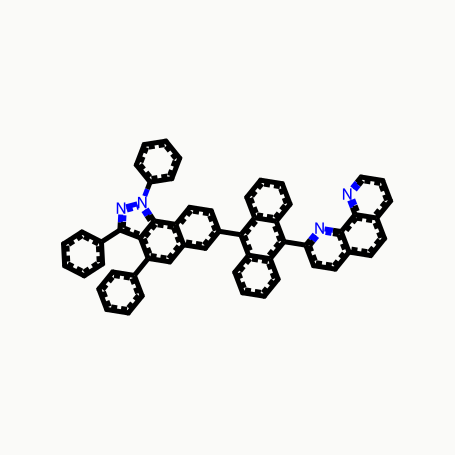 c1ccc(-c2cc3cc(-c4c5ccccc5c(-c5ccc6ccc7cccnc7c6n5)c5ccccc45)ccc3c3c2c(-c2ccccc2)nn3-c2ccccc2)cc1